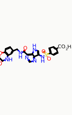 O=C1COc2ccc(CNC(=O)c3ncnc4c(NS(=O)(=O)c5ccc(C(=O)O)cc5)c[nH]c34)cc2N1